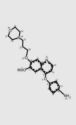 COc1cc2c(Oc3ccc(N)cc3)ccnc2cc1OCCCN1CCOCC1